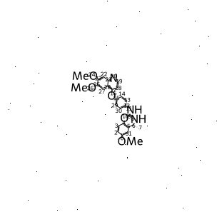 COc1cccc([C@@H](C)NC(=O)Nc2ccc(Oc3ccnc4cc(OC)c(OC)cc34)cc2)c1